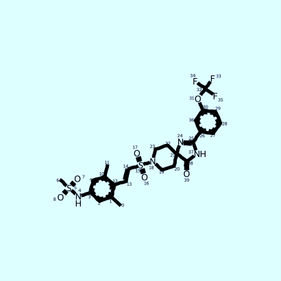 Cc1cc(NS(C)(=O)=O)cc(C)c1C=CS(=O)(=O)N1CCC2(CC1)N=C(c1cccc(OC(F)(F)F)c1)NC2=O